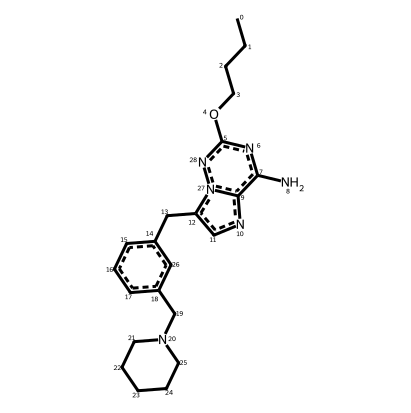 CCCCOc1nc(N)c2ncc(Cc3cccc(CN4CCCCC4)c3)n2n1